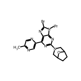 Cc1cnc(-c2nc(N3CC4CCC(C3)O4)nc3c2nc(Br)n3C(C)C)cn1